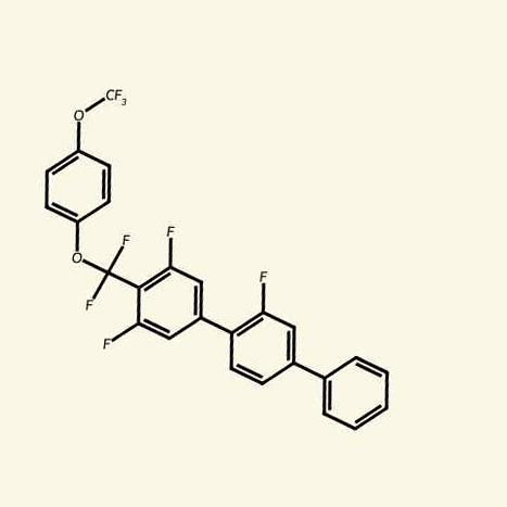 Fc1cc(-c2ccccc2)ccc1-c1cc(F)c(C(F)(F)Oc2ccc(OC(F)(F)F)cc2)c(F)c1